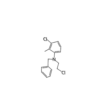 Cc1c(Cl)cccc1N(CCCl)Cc1ccccc1